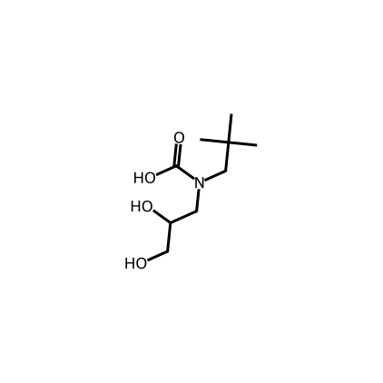 CC(C)(C)CN(CC(O)CO)C(=O)O